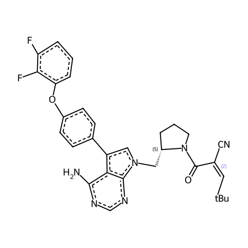 CC(C)(C)/C=C(/C#N)C(=O)N1CCC[C@H]1Cn1cc(-c2ccc(Oc3cccc(F)c3F)cc2)c2c(N)ncnc21